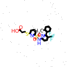 Cc1ccccc1-c1nc(NS(=O)(=O)c2cccc(SCCC(=O)O)n2)ccc1C(F)(F)F